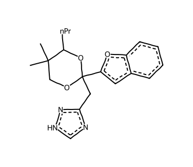 CCCC1OC(Cc2nc[nH]n2)(c2cc3ccccc3o2)OCC1(C)C